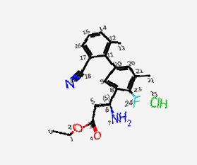 CCOC(=O)C[C@H](N)c1cc(-c2c(C)cccc2C#N)cc(C)c1F.Cl